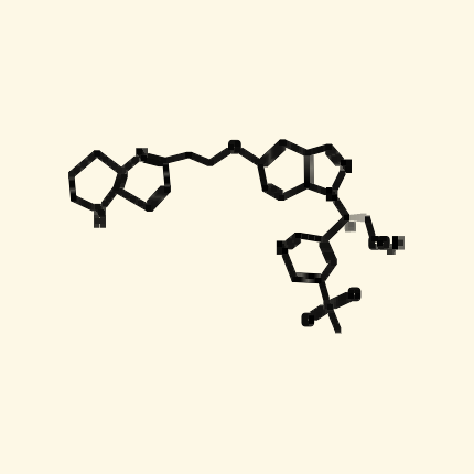 CS(=O)(=O)c1cncc([C@@H](CC(=O)O)n2ncc3cc(OCCc4ccc5c(n4)CCCN5)ccc32)c1